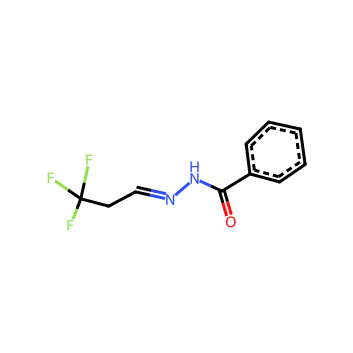 O=C(NN=CCC(F)(F)F)c1ccccc1